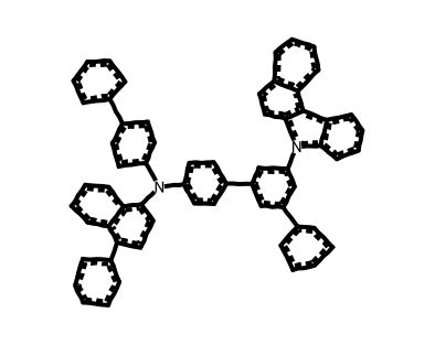 c1ccc(-c2ccc(N(c3ccc(-c4cc(-c5ccccc5)cc(-n5c6ccccc6c6c7ccccc7ccc65)c4)cc3)c3ccc(-c4ccccc4)c4ccccc34)cc2)cc1